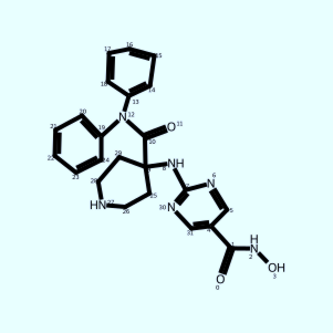 O=C(NO)c1cnc(NC2(C(=O)N(c3ccccc3)c3ccccc3)CCNCC2)nc1